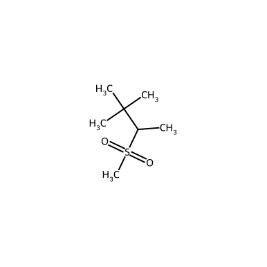 CC(C(C)(C)C)S(C)(=O)=O